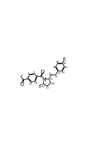 CC(=O)c1ccc(C(=O)N2[C@@H](CCc3ccc(F)cc3)CC[C@H]2C)cc1